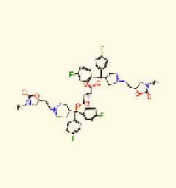 CC(C)N1CC(CCN2CCC(C(OC(=O)/C=C/C(=O)OC(c3ccc(F)cc3)(c3ccc(F)cc3)C3CCN(CCC4CN(C(C)C)C(=O)O4)CC3)(c3ccc(F)cc3)c3ccc(F)cc3)CC2)OC1=O